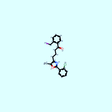 CC(C)c1oc(-c2ccccc2Cl)nc1CCCC(=O)c1ccccc1CI